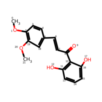 COc1ccc(/C=C/C(=O)c2c(O)cccc2O)cc1OC